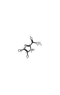 O=C(c1nc(Cl)c(Cl)[nH]1)C(Cl)(Cl)Cl